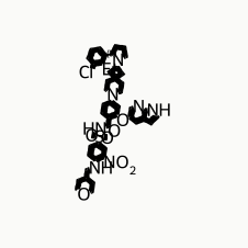 CCc1c(Cl)cccc1[C@H]1CCCN1C1CC2(CCN(c3ccc(C(=O)NS(=O)(=O)c4ccc(NCC5CCOCC5)c([N+](=O)[O-])c4)c(Oc4cnc5[nH]ccc5c4)c3)CC2)C1